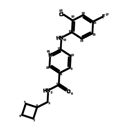 O=C(NCC1CCC1)c1ccc(Nc2ccc(F)cc2Cl)nc1